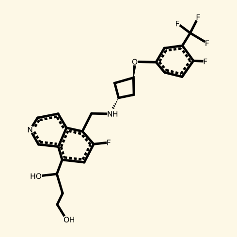 OCCC(O)c1cc(F)c(CN[C@H]2C[C@H](Oc3ccc(F)c(C(F)(F)F)c3)C2)c2ccncc12